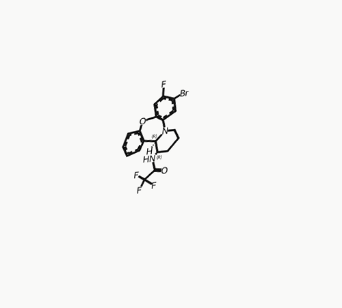 O=C(N[C@@H]1CCCN2c3cc(Br)c(F)cc3Oc3ccccc3[C@H]12)C(F)(F)F